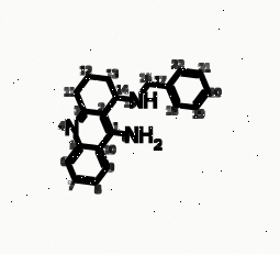 Nc1c2c(nc3ccccc13)CCCC2NCc1ccccc1